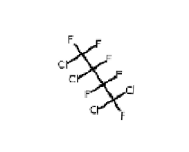 FC(F)(Cl)C(F)(Cl)C(F)(F)C(F)(Cl)Cl